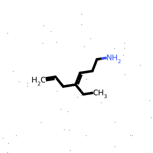 C=CCC(=CCCN)CC